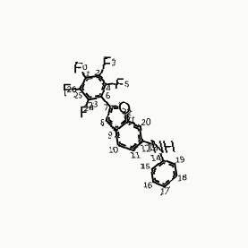 Fc1c(F)c(F)c(-c2cc3ccc(Nc4ccccc4)cc3o2)c(F)c1F